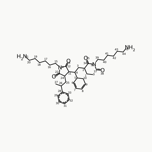 CCC(CC(C1C=CC=CC1)C1C(=O)N(CCCCCCN)C(=O)C1CC(C)c1ccccc1)C(=O)N(C=O)CCCCCCN